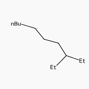 CCCC[CH]CCC(CC)CC